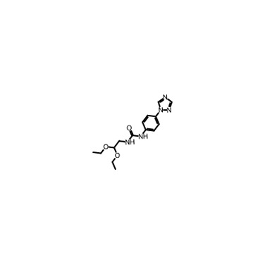 CCOC(CNC(=O)Nc1ccc(-n2cncn2)cc1)OCC